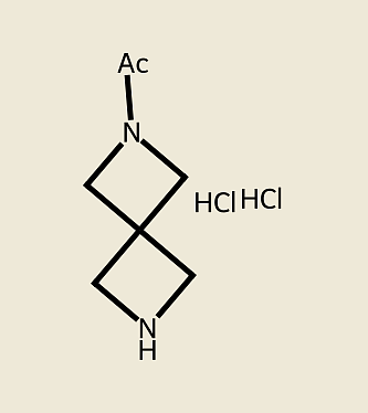 CC(=O)N1CC2(CNC2)C1.Cl.Cl